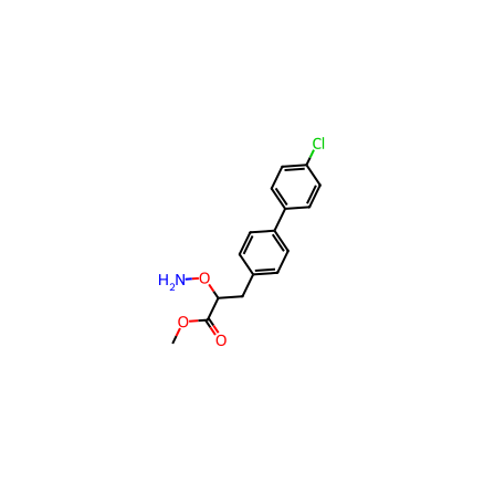 COC(=O)C(Cc1ccc(-c2ccc(Cl)cc2)cc1)ON